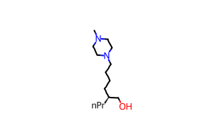 CCC[C@H](CO)CCCCN1CCN(C)CC1